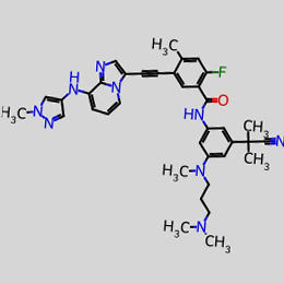 Cc1cc(F)c(C(=O)Nc2cc(N(C)CCCN(C)C)cc(C(C)(C)C#N)c2)cc1C#Cc1cnc2c(Nc3cnn(C)c3)cccn12